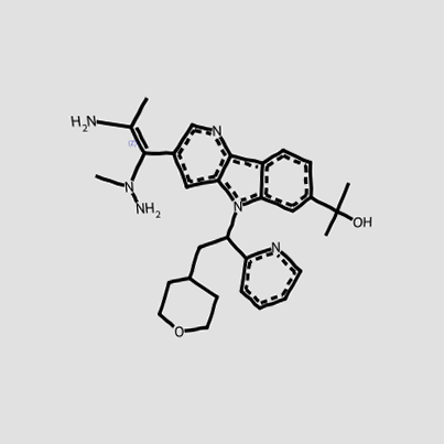 C/C(N)=C(\c1cnc2c3ccc(C(C)(C)O)cc3n(C(CC3CCOCC3)c3ccccn3)c2c1)N(C)N